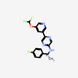 C[C@@H](Nc1cnc(-c2cncc(OC(F)F)c2)cn1)c1ccc(F)cc1